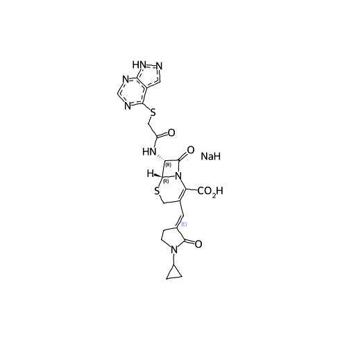 O=C(CSc1ncnc2[nH]ncc12)N[C@@H]1C(=O)N2C(C(=O)O)=C(/C=C3\CCN(C4CC4)C3=O)CS[C@H]12.[NaH]